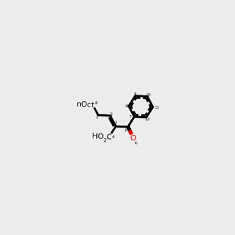 CCCCCCCCCC=C(C(=O)O)C(=O)c1ccccc1